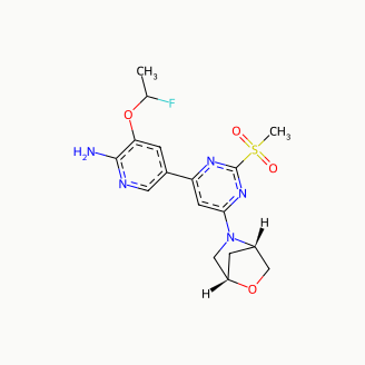 CC(F)Oc1cc(-c2cc(N3C[C@@H]4C[C@H]3CO4)nc(S(C)(=O)=O)n2)cnc1N